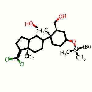 CC(C)(C)[Si](C)(C)OC1CC[C@](C)(C2CC[C@]3(C)C(=C(Cl)Cl)CCC3[C@@H]2CO)[C@@H](CO)C1